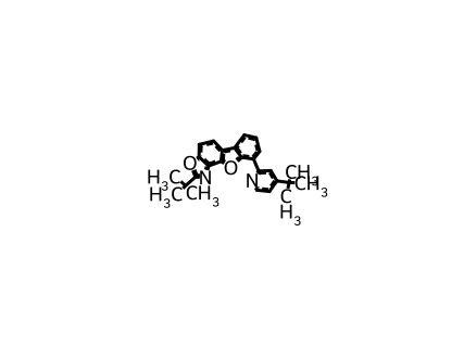 CC(C)(C)c1ccnc(-c2cccc3c2oc2c3ccc3oc(C(C)(C)C)nc32)c1